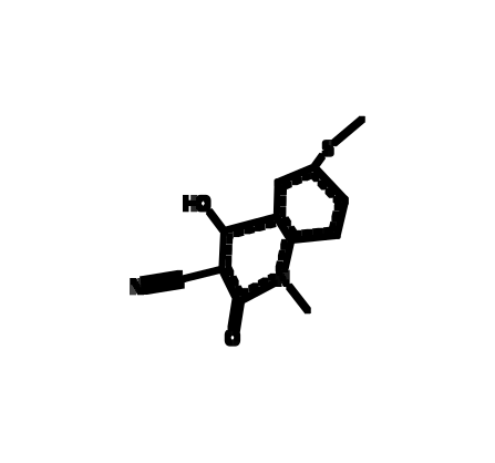 CSc1ccc2c(c1)c(O)c(C#N)c(=O)n2C